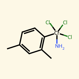 Cc1cc[c]([Cr]([NH2])([Cl])([Cl])[Cl])c(C)c1